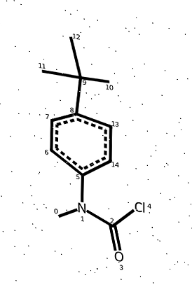 CN(C(=O)Cl)c1ccc(C(C)(C)C)cc1